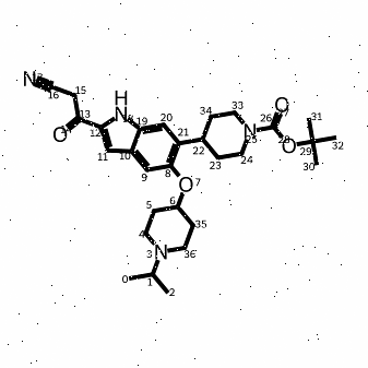 CC(C)N1CCC(Oc2cc3cc(C(=O)CC#N)[nH]c3cc2C2CCN(C(=O)OC(C)(C)C)CC2)CC1